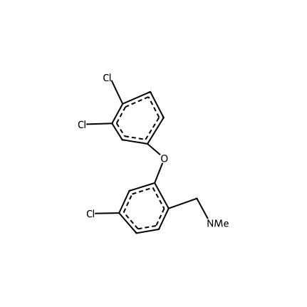 CNCc1ccc(Cl)cc1Oc1ccc(Cl)c(Cl)c1